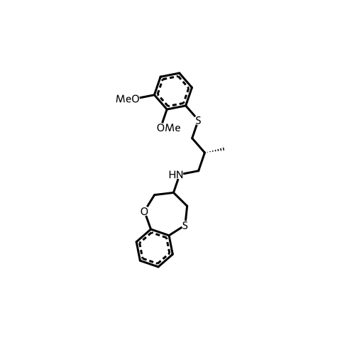 COc1cccc(SC[C@H](C)CNC2COc3ccccc3SC2)c1OC